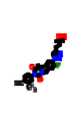 CC(C)(O)CCc1cn(-c2ccc(CN3C(=O)N(c4ccc(C#N)c(C(F)(F)F)c4)C(=O)C3(C)C)cc2F)nn1